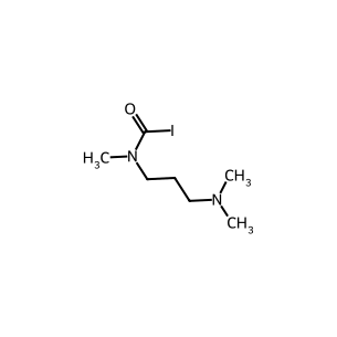 CN(C)CCCN(C)C(=O)I